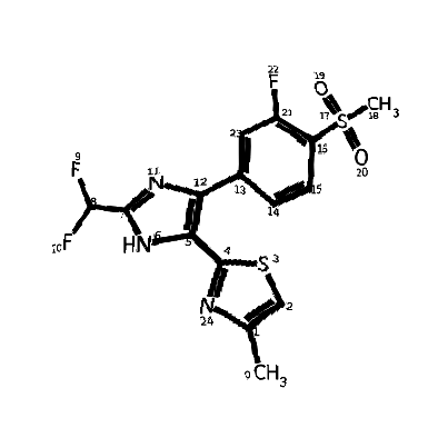 Cc1csc(-c2[nH]c(C(F)F)nc2-c2ccc(S(C)(=O)=O)c(F)c2)n1